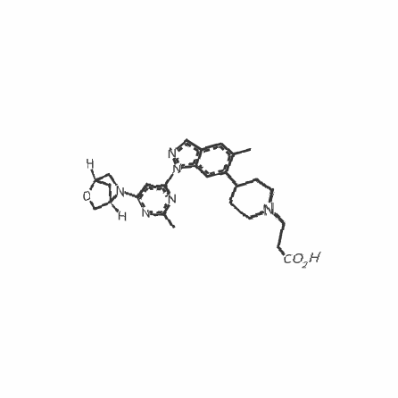 Cc1nc(N2C[C@@H]3C[C@H]2CO3)cc(-n2ncc3cc(C)c(C4CCN(CCC(=O)O)CC4)cc32)n1